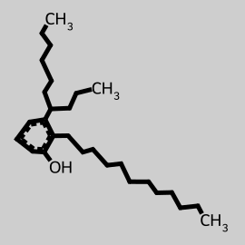 CCCCCCCCCCCCc1c(O)cccc1C(CCC)CCCCCC